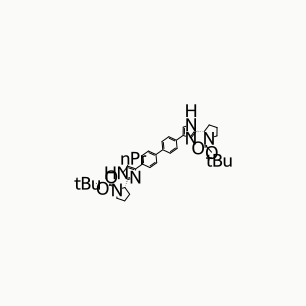 CCCc1[nH]c([C@@H]2CCCN2C(=O)OC(C)(C)C)nc1-c1ccc(-c2ccc(-c3c[nH]c([C@@H]4CCCN4C(=O)OC(C)(C)C)n3)cc2)cc1